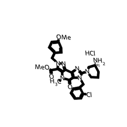 COC(=O)c1c2c(nn1Cc1ccc(OC)cc1)c1nc(N3CCC[C@@H](N)C3)n(Cc3ccccc3Cl)c1c(=O)n2C.Cl